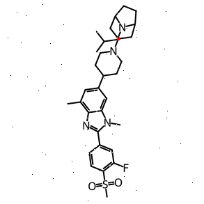 Cc1cc(C2CCN(C3CC4CCC(C3)N4CC(C)C)CC2)cc2c1nc(-c1ccc(S(C)(=O)=O)c(F)c1)n2C